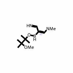 CN/C=C(/BOC(C)(C)C(C)(C)OC)C=N